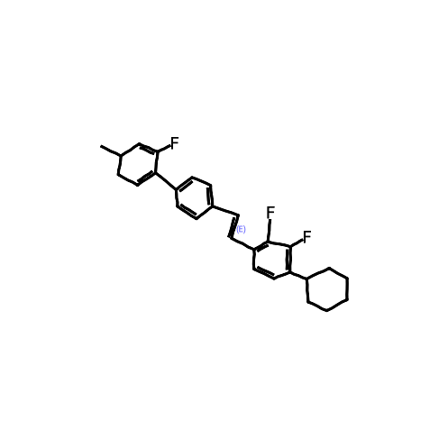 CC1C=C(F)C(c2ccc(/C=C/c3ccc(C4CCCCC4)c(F)c3F)cc2)=CC1